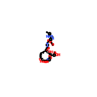 C#Cc1cccc(Nc2ncnc3cc(OCCOC)c(OCCN4CCN(C(=O)CCC[C@@H]5/C=C(\C)CCCCC[C@@H](OC)C[C@@H](C)C(O)(O)C(=O)C(=O)N6CCCC[C@H]6C(=O)O[C@H](/C(C)=C/[C@@H]6CC[C@@H](O)[C@H](OC)C6)[C@H](C)[C@@H](O)CC5=O)CC4)cc23)c1